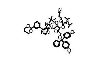 COc1ccc(C(OC[C@H]2O[C@@H](n3cnc4c(-c5cccc(C6OCCCO6)c5)ncnc43)[C@H](O[Si](C)(C)C(C)(C)C)[C@@H]2OP(OCCC#N)N(C(C)C)C(C)C)(c2ccccc2)c2ccc(OC)cc2)cc1